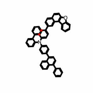 c1ccc(-c2ccccc2N(c2ccc(-c3ccc4ccc5oc6ccccc6c5c4c3)cc2)c2ccc(-c3ccc(-c4ccccc4)c4ccccc34)cc2)cc1